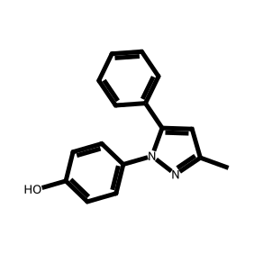 Cc1cc(-c2ccccc2)n(-c2ccc(O)cc2)n1